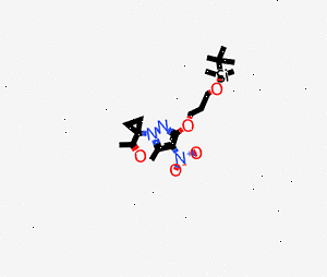 CC(=O)C1(n2nc(OCCCO[Si](C)(C)C(C)(C)C)c([N+](=O)[O-])c2C)CC1